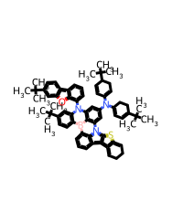 CC(C)(C)C1=CC=C(N(C2=CCC(C(C)(C)C)C=C2)c2cc3c4c(c2)-n2c5sc6c(c5c5cccc(c52)B4c2ccc(C(C)(C)C)cc2N3c2cccc3c2oc2cc(C(C)(C)C)ccc23)=CCCC=6)CC1